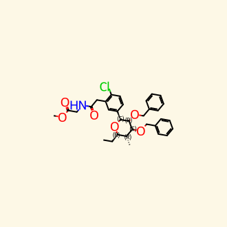 CC[C@H]1O[C@@H](c2ccc(Cl)c(CC(=O)NCC(=O)OC)c2)[C@H](OCc2ccccc2)[C@@H](OCc2ccccc2)[C@@H]1C